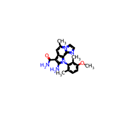 COc1ccc(C)c(-n2c(N)c(C(N)=O)c3cc(C)n4ccnc4c32)c1C